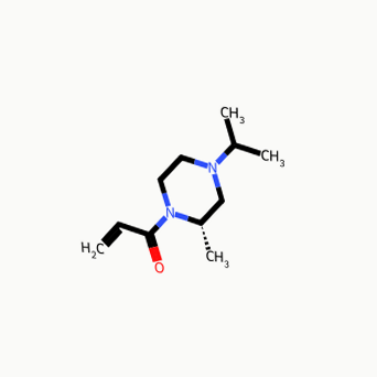 C=CC(=O)N1CCN(C(C)C)C[C@@H]1C